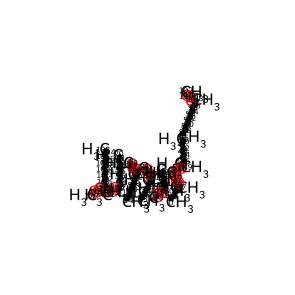 CCCCCC(C)(C)OOOC.CCCCCCC(C)(C)OOOC.CCCCCCCC(C)(C)OOOC.CCCCCCCCC(C)(C)OOOC.CCCCCCCCCC(C)(C)OOOC.CCCCCCCCCCC(C)OOOC.CCCCCCCCCCCC(C)OOOC.CCCCCCCCCCCCC(C)OOOC